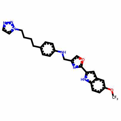 FC(F)(F)Oc1ccc2[nH]c(-c3nc(CNc4ccc(CCCCn5ccnn5)cc4)co3)cc2c1